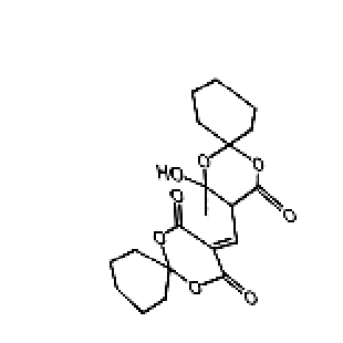 CC1(O)OC2(CCCCC2)OC(=O)C1C=C1C(=O)OC2(CCCCC2)OC1=O